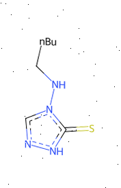 CCCCCNn1cn[nH]c1=S